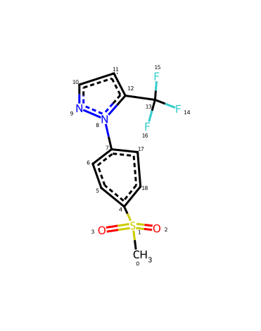 CS(=O)(=O)c1ccc(-n2nc[c]c2C(F)(F)F)cc1